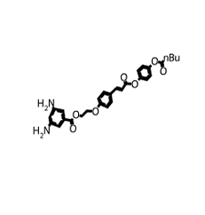 CCCCC(=O)Oc1ccc(OC(=O)C=Cc2ccc(OCCOC(=O)c3cc(N)cc(N)c3)cc2)cc1